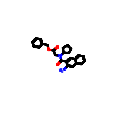 Nc1cc2ccccc2cc1C(=O)N(CC(=O)OCc1ccccc1)C1CCCC1